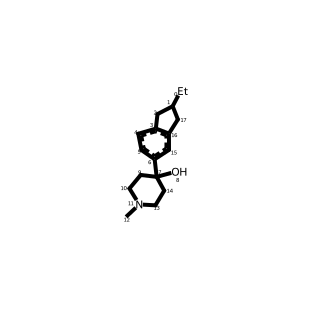 CCC1Cc2ccc(C3(O)CCN(C)CC3)cc2C1